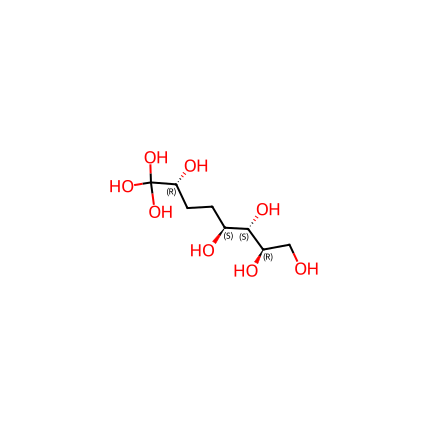 OC[C@@H](O)[C@@H](O)[C@@H](O)CC[C@@H](O)C(O)(O)O